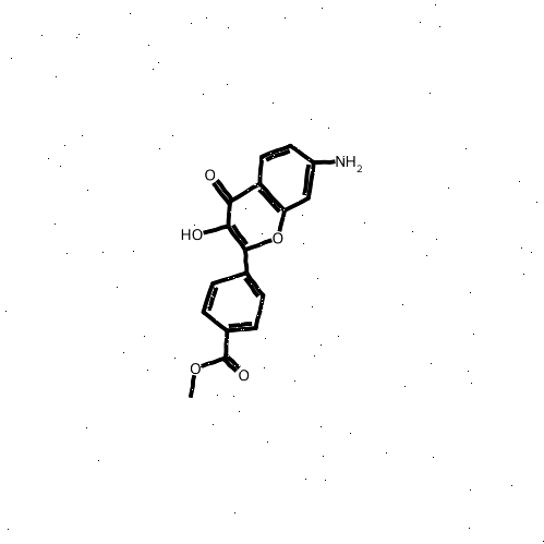 COC(=O)c1ccc(-c2oc3cc(N)ccc3c(=O)c2O)cc1